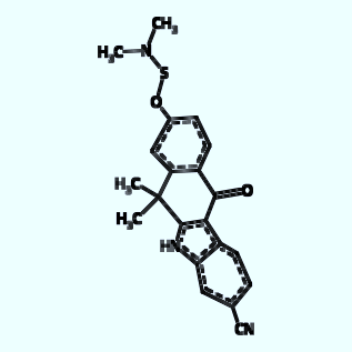 CN(C)SOc1ccc2c(c1)C(C)(C)c1[nH]c3cc(C#N)ccc3c1C2=O